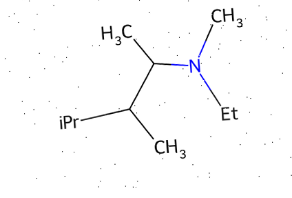 CCN(C)C(C)C(C)C(C)C